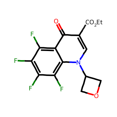 CCOC(=O)c1cn(C2COC2)c2c(F)c(F)c(F)c(F)c2c1=O